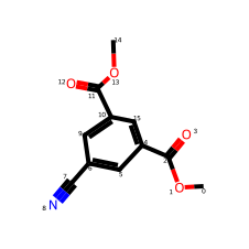 COC(=O)c1cc(C#N)cc(C(=O)OC)c1